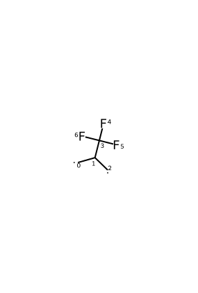 [CH2]C([CH2])C(F)(F)F